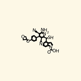 N#Cc1c(N)nc(C(S)c2cccc3c2ccn3C(=O)O)c(C#N)c1-c1ccc(OC2COC2)cc1